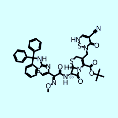 CON=C(C(=O)N[C@@H]1C(=O)N2C(C(=O)OC(C)(C)C)=C(CN3SNC=C(C#N)C3=O)CS[C@H]12)c1csc(NC(c2ccccc2)(c2ccccc2)c2ccccc2)n1